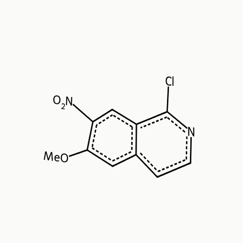 COc1cc2ccnc(Cl)c2cc1[N+](=O)[O-]